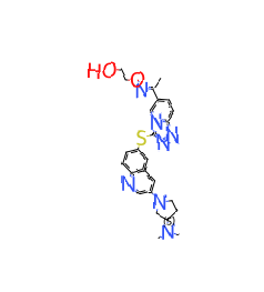 CC(=NOCCO)c1ccc2nnc(Sc3ccc4ncc(N5CC[C@H](N(C)C)C5)cc4c3)n2c1